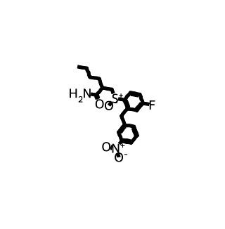 CCCCC(C[S+]([O-])c1ccc(F)cc1Cc1cccc([N+](=O)[O-])c1)C(N)=O